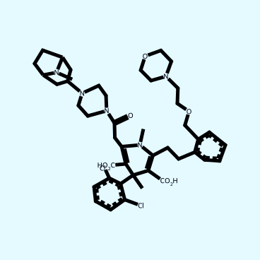 CN1C(CCc2ccccc2COCCN2CCOCC2)=C(C(=O)O)C(C)(c2c(Cl)cccc2Cl)C(C(=O)O)=C1CC(=O)N1CCN(C2CC3CCC(C2)N3C)CC1